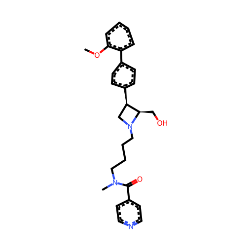 COc1ccccc1-c1ccc([C@@H]2CN(CCCCN(C)C(=O)c3ccncc3)[C@@H]2CO)cc1